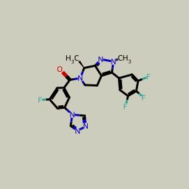 C[C@H]1c2nn(C)c(-c3cc(F)c(F)c(F)c3)c2CCN1C(=O)c1cc(F)cc(-n2cnnc2)c1